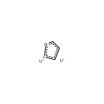 [Li+].[Li+].[c-]1ccc[n-]1